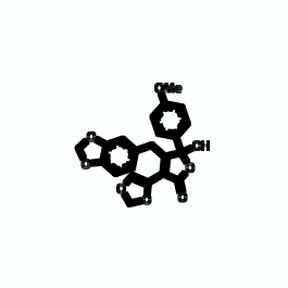 COc1ccc(C2(O)OC(=O)C(C3=COCO3)=C2Cc2ccc3c(c2)OCO3)cc1